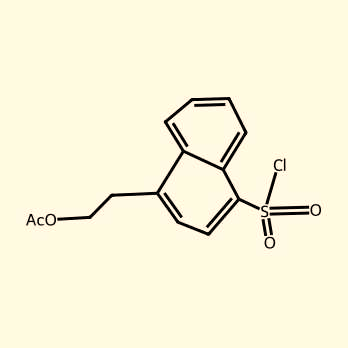 CC(=O)OCCc1ccc(S(=O)(=O)Cl)c2ccccc12